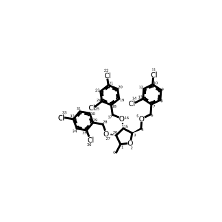 CC1O[C@H](COCc2ccc(Cl)cc2Cl)[C@@H](OCc2ccc(Cl)cc2Cl)[C@H]1OCc1ccc(Cl)cc1Cl